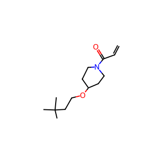 C=CC(=O)N1CCC(OCCC(C)(C)C)CC1